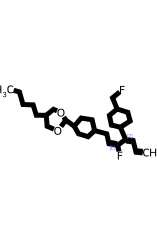 C=C/C=C(\C(F)=C/CC1CCC(C2OCC(CCCCC)CO2)CC1)C1CCC(CF)CC1